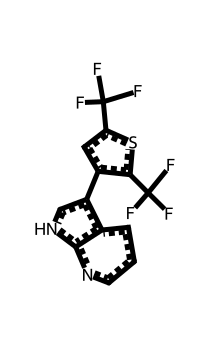 FC(F)(F)c1cc(-c2c[nH]c3ncccc23)c(C(F)(F)F)s1